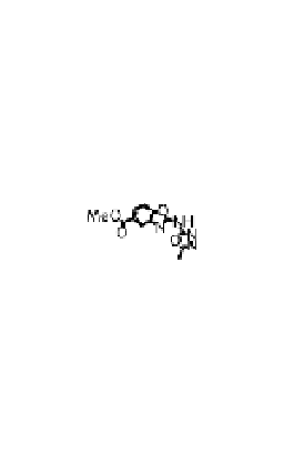 COC(=O)c1ccc2oc(Nc3nnc(C)o3)nc2c1